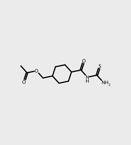 CC(=O)OCC1CCC(C(=O)NC(N)=S)CC1